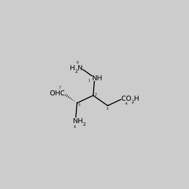 NNC(CC(=O)O)[C@H](N)C=O